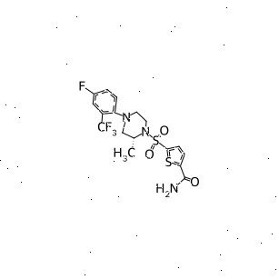 C[C@@H]1CN(c2ccc(F)cc2C(F)(F)F)CCN1S(=O)(=O)c1ccc(C(N)=O)s1